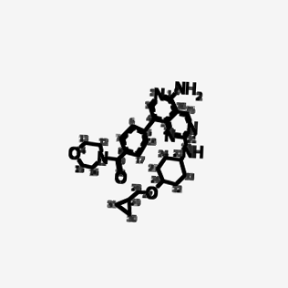 Nc1ncc(-c2ccc(C(=O)N3CCOCC3)cc2)c2nc(NC3CCC(OCC4CC4)CC3)ncc12